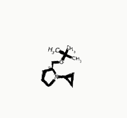 CC(C)(C)OC[C@@H]1CCCN1C1CC1